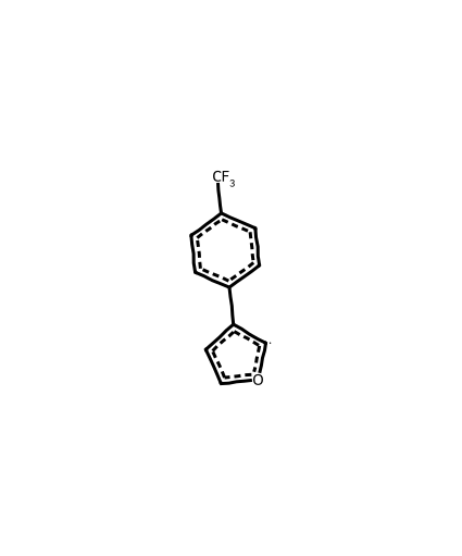 FC(F)(F)c1ccc(-c2[c]occ2)cc1